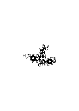 COC(=O)c1csc(NC(=O)[C@H](Cc2ccc(N)cc2)N2C(=O)N[C@H](c3ccc(OC)cc3)C2=O)n1